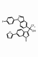 Cn1cc(C(O)(c2ccc3c(cnn3-c3ccc(F)cc3)c2)C(F)(F)F)c2ccc(-c3ccco3)cc21